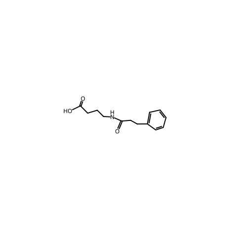 O=C(O)CCCNC(=O)CCc1ccccc1